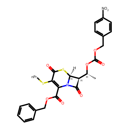 CCCSC1=C(C(=O)OCc2ccccc2)N2C(=O)[C@H]([C@@H](C)OC(=O)OCc3ccc([N+](=O)[O-])cc3)[C@@H]2SC1=O